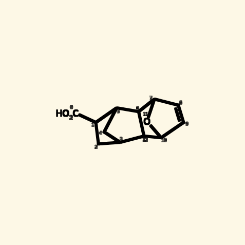 O=C(O)C1CC2CC1C1C3C=CC(O3)C21